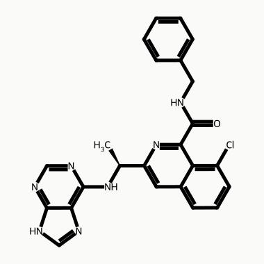 C[C@H](Nc1ncnc2[nH]cnc12)c1cc2cccc(Cl)c2c(C(=O)NCc2ccccc2)n1